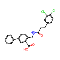 O=C(CCc1ccc(Cl)c(Cl)c1)NCc1ccc(-c2ccccc2)cc1C(=O)O